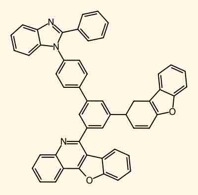 C1=CC(c2cc(-c3ccc(-n4c(-c5ccccc5)nc5ccccc54)cc3)cc(-c3nc4ccccc4c4oc5ccccc5c34)c2)Cc2c1oc1ccccc21